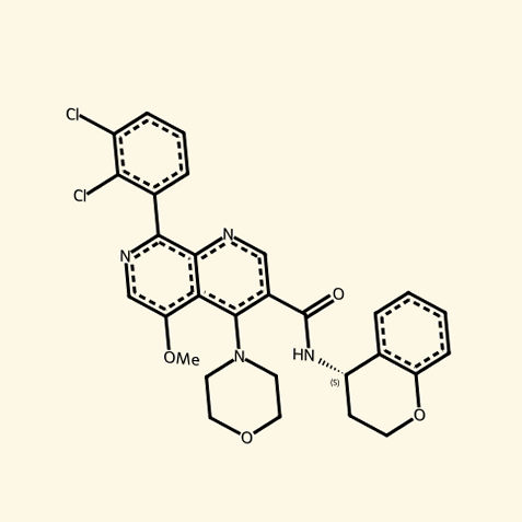 COc1cnc(-c2cccc(Cl)c2Cl)c2ncc(C(=O)N[C@H]3CCOc4ccccc43)c(N3CCOCC3)c12